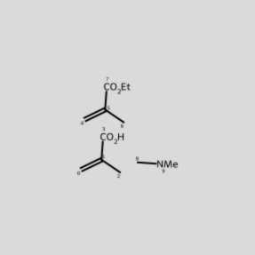 C=C(C)C(=O)O.C=C(C)C(=O)OCC.CNC